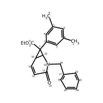 CCOC(=O)C1(c2cc(C)cc(C)c2)C2C=CC(=O)N(Cc3ccccc3)C21